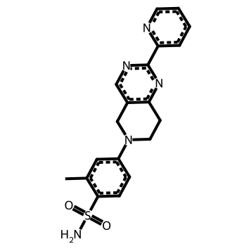 Cc1cc(N2CCc3nc(-c4ccccn4)ncc3C2)ccc1S(N)(=O)=O